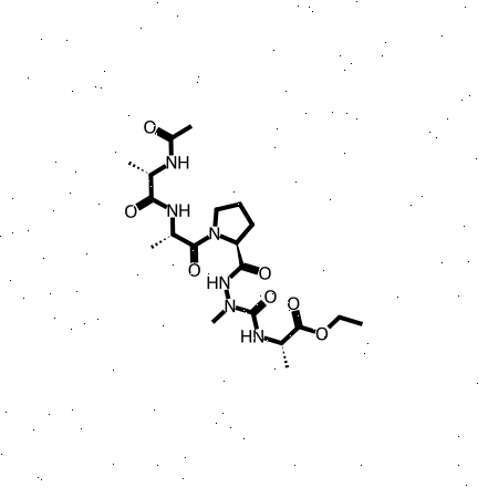 CCOC(=O)[C@H](C)NC(=O)N(C)NC(=O)[C@@H]1CCCN1C(=O)[C@H](C)NC(=O)[C@H](C)NC(C)=O